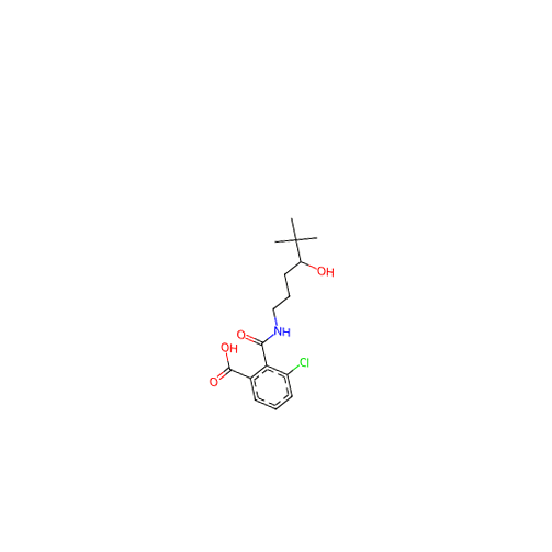 CC(C)(C)C(O)CCCNC(=O)c1c(Cl)cccc1C(=O)O